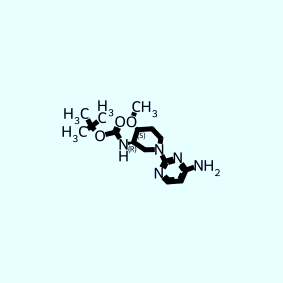 CO[C@H]1CCN(c2nccc(N)n2)C[C@H]1NC(=O)OC(C)(C)C